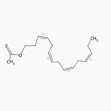 CC/C=C\C/C=C\C/C=C\C/C=C\CCOC(C)=S